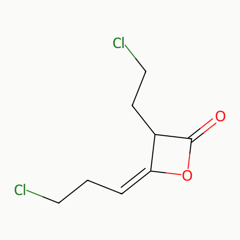 O=C1O/C(=C/CCCl)C1CCCl